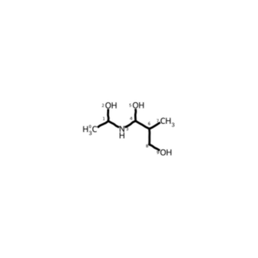 CC(O)NC(O)C(C)CO